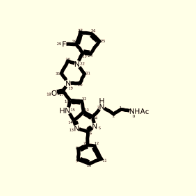 CC(=O)NCCNc1nc(-c2ccccc2)nc2[nH]c(C(=O)N3CCN(c4ccccc4F)CC3)cc12